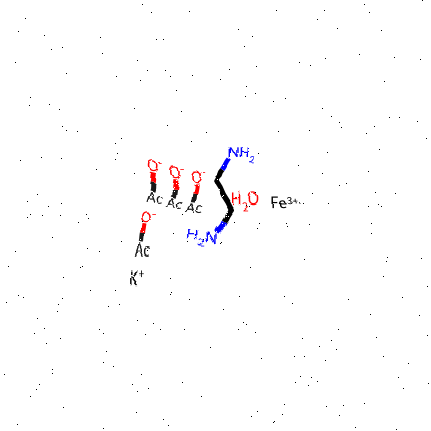 CC(=O)[O-].CC(=O)[O-].CC(=O)[O-].CC(=O)[O-].NCCN.O.[Fe+3].[K+]